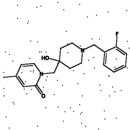 Cc1ccn(CC2(O)CCN(Cc3ccccc3F)CC2)c(=O)c1